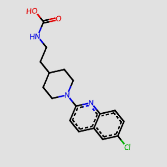 O=C(O)NCCC1CCN(c2ccc3cc(Cl)ccc3n2)CC1